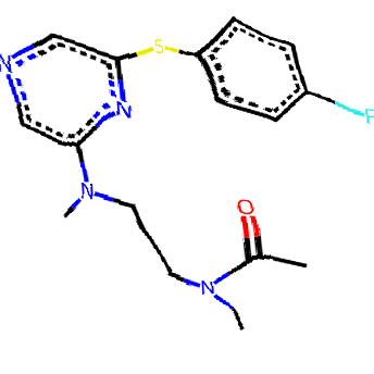 CC(=O)N(C)CCN(C)c1cncc(Sc2ccc(F)cc2)n1